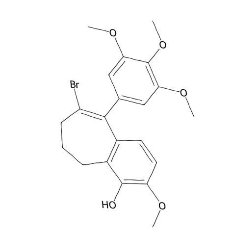 COc1ccc2c(c1O)CCCC(Br)=C2c1cc(OC)c(OC)c(OC)c1